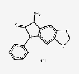 Cl.NC1C(=O)N(c2ccccc2)c2cc3c(cc21)OCO3